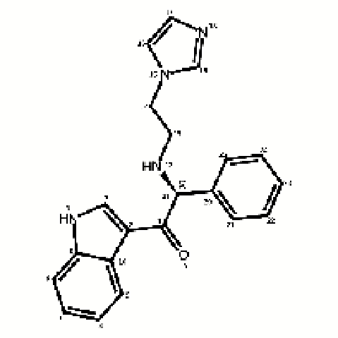 O=C(c1c[nH]c2ccccc12)[C@@H](NCCn1ccnc1)c1ccccc1